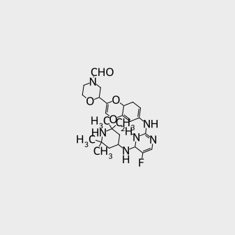 [2H]N1C(NC2=CCC3OC(C4CN(C=O)CCO4)=COC3=C2)=NC=C(F)C1NC1CC(C)(C)NC(C)(C)C1